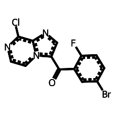 O=C(c1cc(Br)ccc1F)c1cnc2c(Cl)nccn12